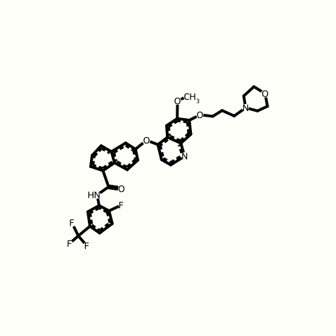 COc1cc2c(Oc3ccc4c(C(=O)Nc5cc(C(F)(F)F)ccc5F)cccc4c3)ccnc2cc1OCCCN1CCOCC1